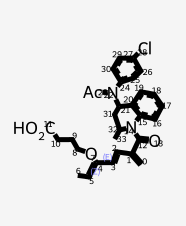 C=C(/C=C/C(=C/C)OCCCC(=O)O)C(=O)N1c2ccccc2C(N(C(C)=O)c2ccc(Cl)cc2)CC1C